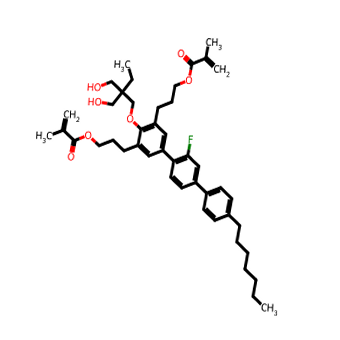 C=C(C)C(=O)OCCCc1cc(-c2ccc(-c3ccc(CCCCCCC)cc3)cc2F)cc(CCCOC(=O)C(=C)C)c1OCC(CC)(CO)CO